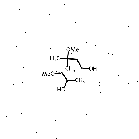 COC(C)(C)CCO.COCC(C)O